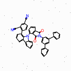 N#Cc1ccc(-c2cccc3c4ccccc4n(-c4cccc5c4C(=O)N(c4cc(-c6ccccc6)cc(-c6ccccc6)c4)C5=O)c23)c(C#N)c1